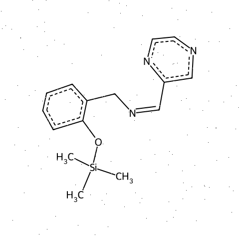 C[Si](C)(C)Oc1ccccc1C/N=C\c1cnccn1